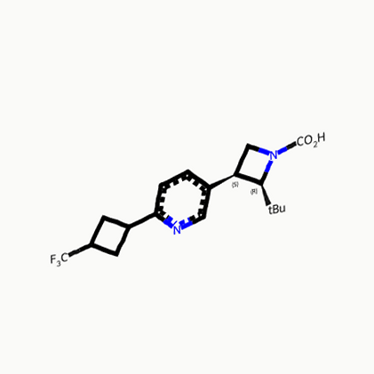 CC(C)(C)[C@H]1[C@@H](c2ccc(C3CC(C(F)(F)F)C3)nc2)CN1C(=O)O